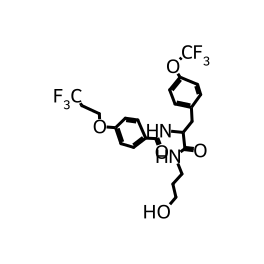 O=C(NC(Cc1ccc(OC(F)(F)F)cc1)C(=O)NCCCO)c1ccc(OCCC(F)(F)F)cc1